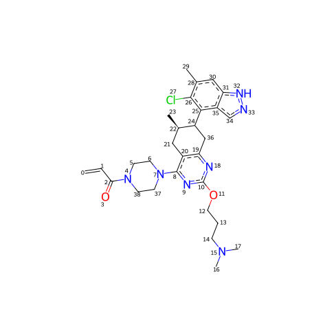 C=CC(=O)N1CCN(c2nc(OCCCN(C)C)nc3c2C[C@@H](C)C(c2c(Cl)c(C)cc4[nH]ncc24)C3)CC1